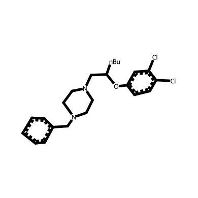 CCCCC(CN1CCN(Cc2ccccc2)CC1)Oc1ccc(Cl)c(Cl)c1